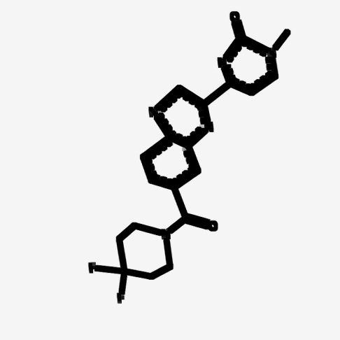 Cn1ccc(-c2cnc3ccc(C(=O)N4CCC(F)(F)CC4)cc3n2)nc1=O